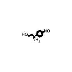 NN(CCO)c1ccc(N=O)cc1